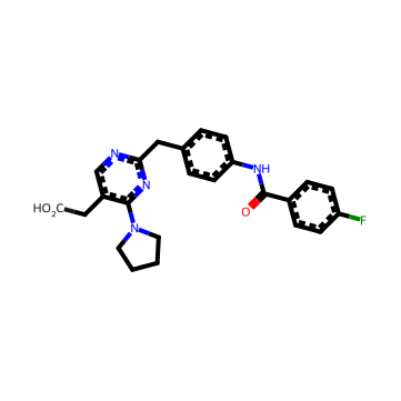 O=C(O)Cc1cnc(Cc2ccc(NC(=O)c3ccc(F)cc3)cc2)nc1N1CCCC1